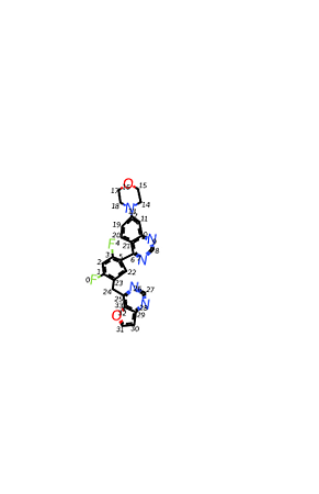 Fc1cc(F)c(-c2ncnc3cc(N4CCOCC4)ccc23)cc1Cc1ncnc2ccoc12